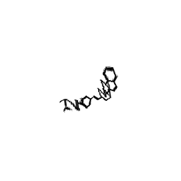 CCN(CC)c1ccc(C=CC2=NN(c3ccc4ccccc4n3)CC2)cc1